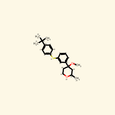 COC1(c2cccc(Sc3ccc(C(C)(C)C)cc3)c2)CCOC(C)C1